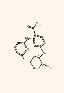 Cc1cccc(Nc2cc(N[C@@H]3CCOC[C@@H]3N)nnc2C(N)=O)n1